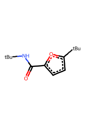 CC(C)(C)NC(=O)c1ccc(C(C)(C)C)o1